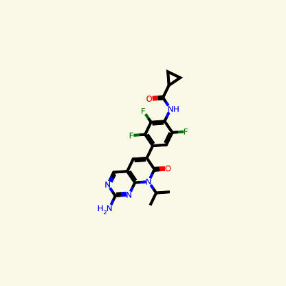 CC(C)n1c(=O)c(-c2cc(F)c(NC(=O)C3CC3)c(F)c2F)cc2cnc(N)nc21